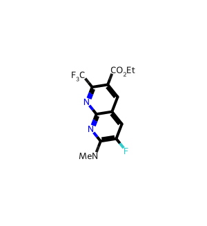 CCOC(=O)c1cc2cc(F)c(NC)nc2nc1C(F)(F)F